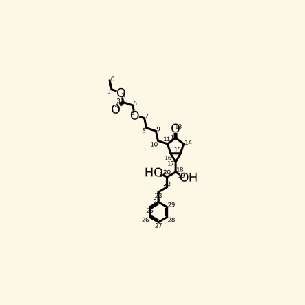 CCOC(=O)COCCCCC1C(=O)CC2C1C2C(O)C(O)CCc1ccccc1